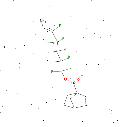 O=C(OC(F)(F)C(F)(F)C(F)(F)C(F)(F)C(F)CC(F)(F)F)C12C=CC(CC1)C2